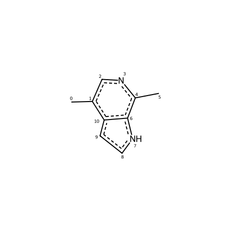 Cc1cnc(C)c2[nH]ccc12